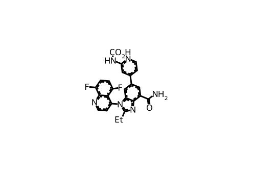 CCc1nc2c(C(N)=O)cc(-c3ccnc(NC(=O)O)c3)cc2n1-c1ccnc2c(F)ccc(F)c12